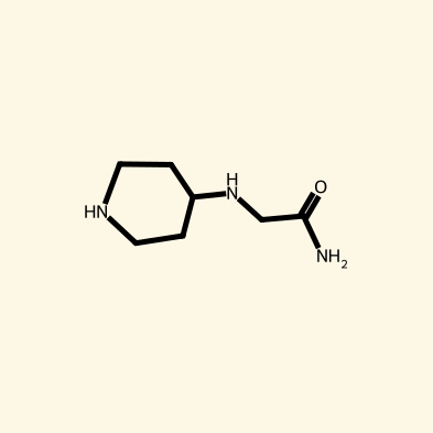 NC(=O)CNC1CCNCC1